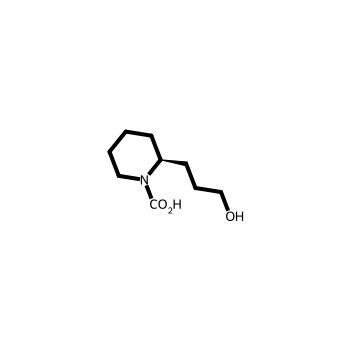 O=C(O)N1CCCC[C@H]1CCCO